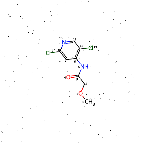 COCC(=O)Nc1cc(Cl)ncc1Cl